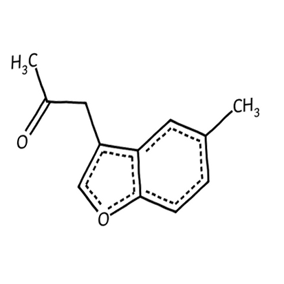 CC(=O)Cc1coc2ccc(C)cc12